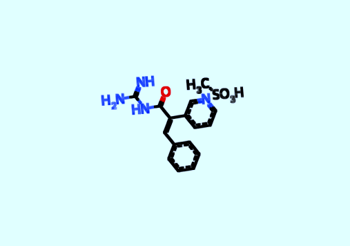 CS(=O)(=O)O.N=C(N)NC(=O)/C(=C/c1ccccc1)c1cccnc1